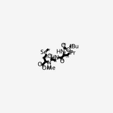 COC(=O)C(CC[Se]C)NC(=O)CNC(=O)C(CC(C)C)NC(=O)OC(C)(C)C